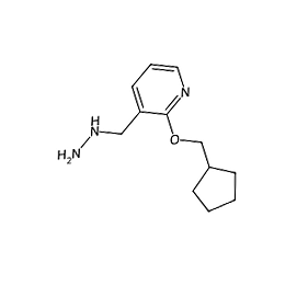 NNCc1cccnc1OCC1CCCC1